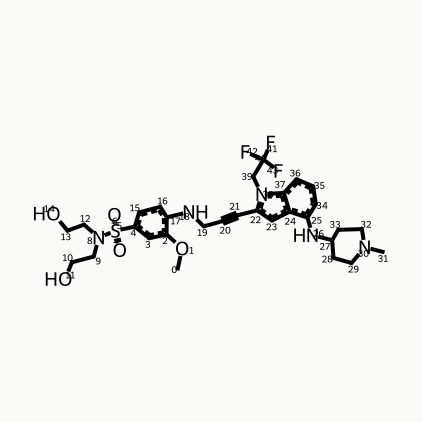 COc1cc(S(=O)(=O)N(CCO)CCO)ccc1NCC#Cc1cc2c(NC3CCN(C)CC3)cccc2n1CC(F)(F)F